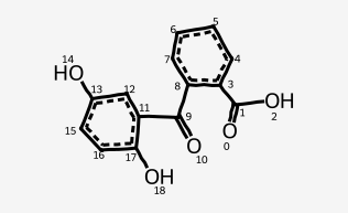 O=C(O)c1ccccc1C(=O)c1cc(O)ccc1O